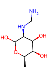 C[C@H]1OC(O)[C@@H](NCN)[C@@H](O)[C@H]1O